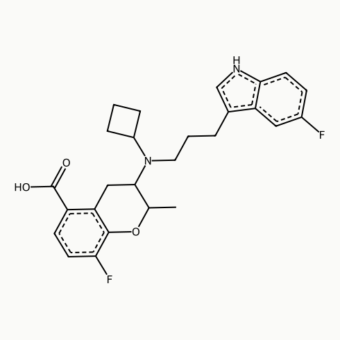 CC1Oc2c(F)ccc(C(=O)O)c2CC1N(CCCc1c[nH]c2ccc(F)cc12)C1CCC1